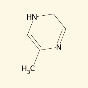 CC1=[C]NCC=N1